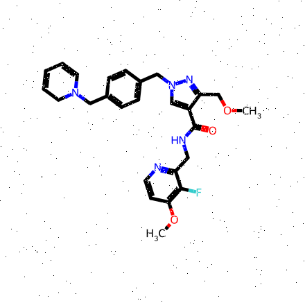 COCc1nn(Cc2ccc(CN3C=CC=CC3)cc2)cc1C(=O)NCc1nccc(OC)c1F